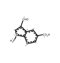 O=Cc1cn(P)c2ncc(C(=O)O)cc12